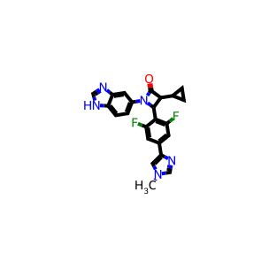 Cn1cnc(-c2cc(F)c(C3C(C4CC4)C(=O)N3c3ccc4[nH]cnc4c3)c(F)c2)c1